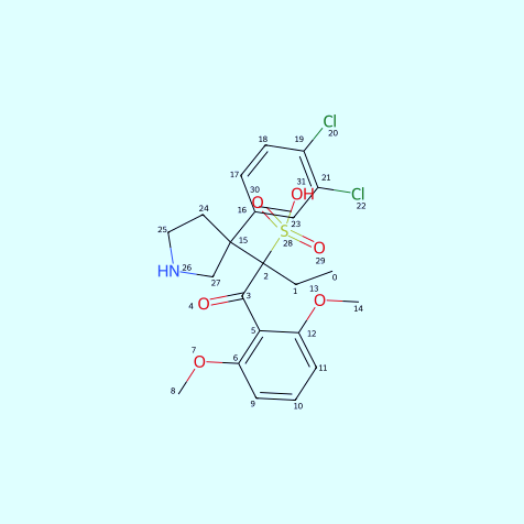 CCC(C(=O)c1c(OC)cccc1OC)(C1(c2ccc(Cl)c(Cl)c2)CCNC1)S(=O)(=O)O